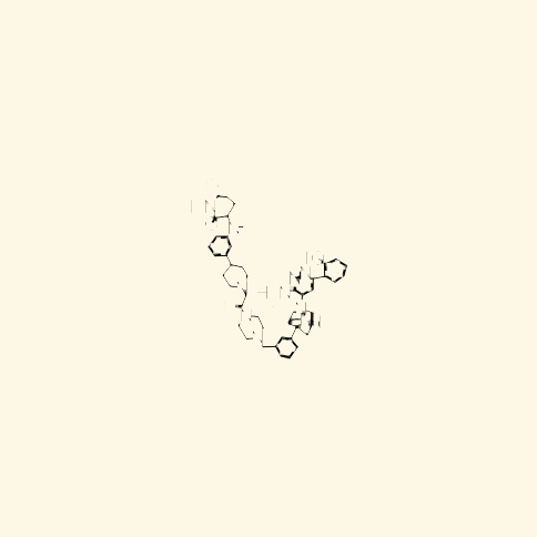 CN(c1cccc(C2CCN(CC(=O)N3CCN(Cc4cccc(C56C[C@@H]7CN(c8cc(-c9ccccc9O)nnc8N)CC5CN76)c4)CC3)CC2)c1)C1CCC(=O)NC1=O